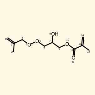 C=C(C)COOCC(O)COC(=O)C(=C)C